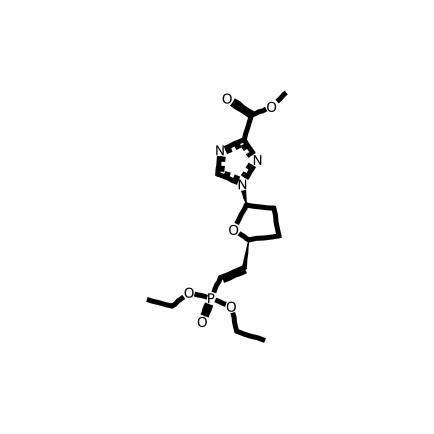 CCOP(=O)(/C=C/[C@@H]1CC[C@H](n2cnc(C(=O)OC)n2)O1)OCC